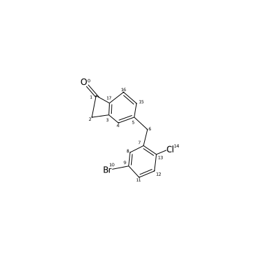 O=C1Cc2cc(Cc3cc(Br)ccc3Cl)ccc21